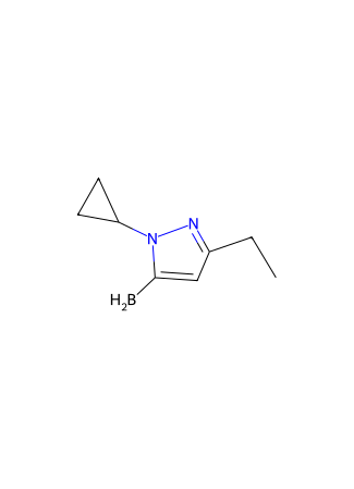 Bc1cc(CC)nn1C1CC1